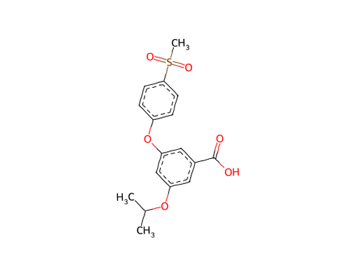 CC(C)Oc1cc(Oc2ccc(S(C)(=O)=O)cc2)cc(C(=O)O)c1